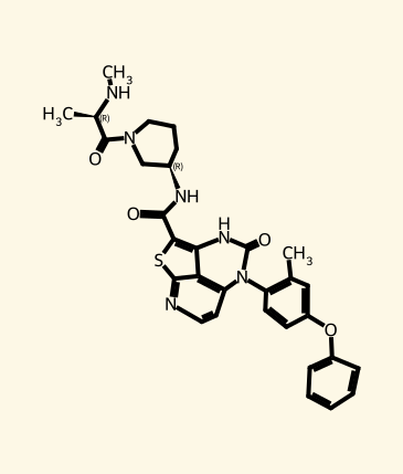 CN[C@H](C)C(=O)N1CCC[C@@H](NC(=O)c2sc3nccc4c3c2NC(=O)N4c2ccc(Oc3ccccc3)cc2C)C1